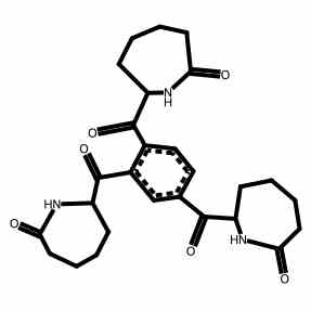 O=C1CCCCC(C(=O)c2ccc(C(=O)C3CCCCC(=O)N3)c(C(=O)C3CCCCC(=O)N3)c2)N1